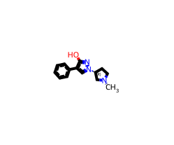 CN1CC[C@@H](n2cc(-c3ccccc3)c(O)n2)C1